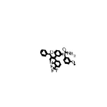 COc1cccc(N(C(N)=O)c2cccc(-c3c(C(=O)c4ccccc4)cnc4c(C(F)(F)F)cccc34)c2)c1